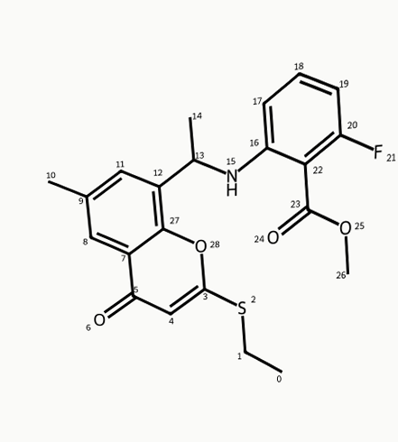 CCSc1cc(=O)c2cc(C)cc(C(C)Nc3cccc(F)c3C(=O)OC)c2o1